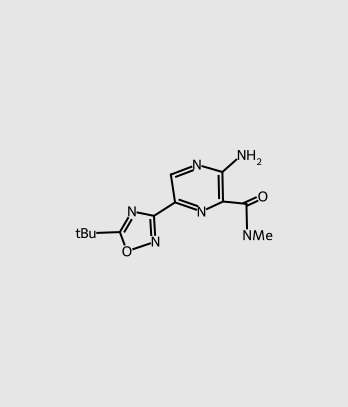 CNC(=O)c1nc(-c2noc(C(C)(C)C)n2)cnc1N